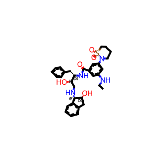 CCNc1cc(C(=O)N[C@@H](Cc2ccccc2)[C@H](O)CN[C@@H]2c3ccccc3C[C@@H]2O)cc(N2CCCCS2(=O)=O)c1